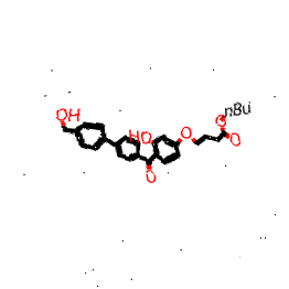 CCCCOC(=O)CCCOc1ccc(C(=O)c2ccc(-c3ccc(CO)cc3)cc2)c(O)c1